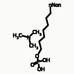 CCCCCCCCCCCCCCCCOP(=O)(O)O.CN(C)C